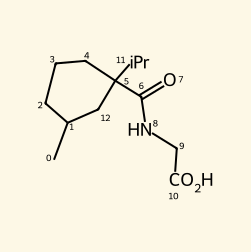 CC1CCCC(C(=O)NCC(=O)O)(C(C)C)C1